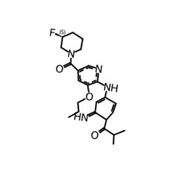 CCCOc1cc(C(=O)N2CCC[C@H](F)C2)cnc1NC1=CC(=N)C(C(=O)C(C)C)C=C1